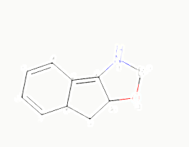 [B]1NC2=C3C=CC=CC3CC2O1